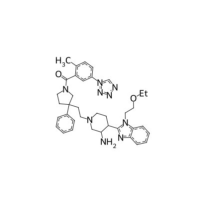 CCOCCn1c(C2CCN(CCC3(c4ccccc4)CCN(C(=O)c4cc(-n5cnnn5)ccc4C)C3)CC2N)nc2ccccc21